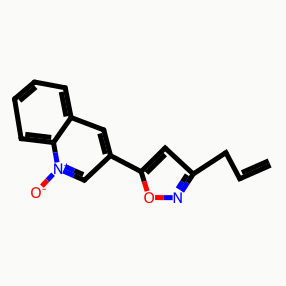 C=CCc1cc(-c2cc3ccccc3[n+]([O-])c2)on1